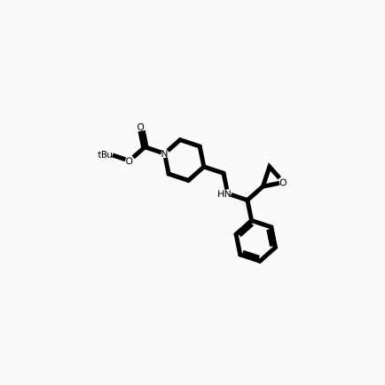 CC(C)(C)OC(=O)N1CCC(CNC(c2ccccc2)C2CO2)CC1